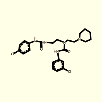 O=C(NCCN(CCN1CCCCC1)C(=O)Nc1cccc(Cl)c1)Nc1ccc(Cl)cc1